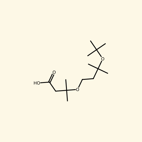 CC(C)(C)OC(C)(C)CCOC(C)(C)CC(=O)O